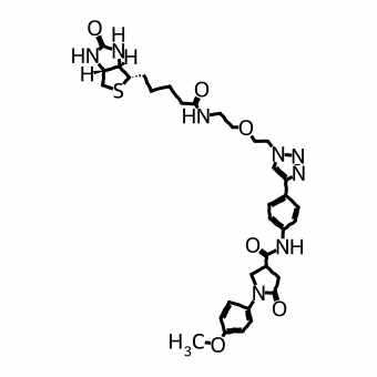 COc1ccc(N2CC(C(=O)Nc3ccc(-c4cn(CCOCCNC(=O)CCCC[C@@H]5SC[C@@H]6NC(=O)N[C@@H]65)nn4)cc3)CC2=O)cc1